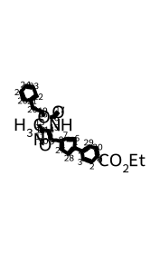 CCOC(=O)c1ccc(-c2ccc(-c3onc(C)c3NC(=O)OCCc3ccccc3)cc2)cc1